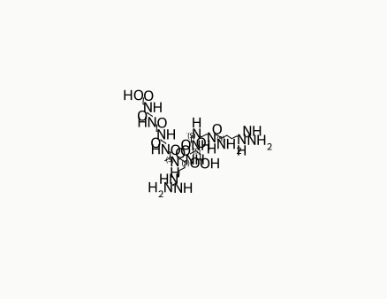 C[C@H](NC(=O)CNC(=O)[C@@H](N)CCCNC(=N)N)C(=O)N[C@@H](CC(=O)O)C(=O)N[C@@H](CCCNC(=N)N)C(=O)N[C@@H](C)C(=O)NCC(=O)NCC(=O)NCC(=O)NCC(=O)O